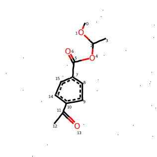 COC(C)OC(=O)c1ccc(C(C)=O)cc1